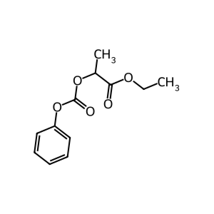 CCOC(=O)C(C)OC(=O)Oc1ccccc1